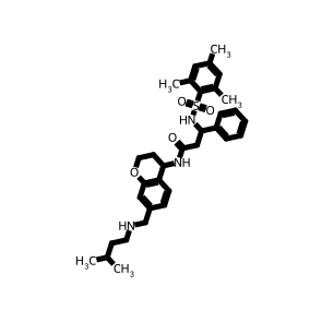 Cc1cc(C)c(S(=O)(=O)NC(CC(=O)NC2CCOc3cc(CNCCC(C)C)ccc32)c2ccccc2)c(C)c1